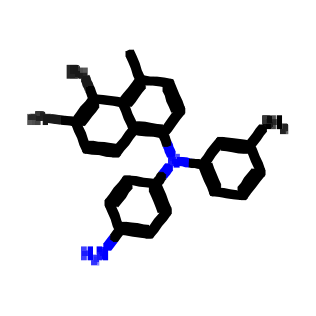 Bc1cccc(N(c2ccc(N)cc2)c2ccc(C)c3c(C(C)CC)c(CCC)ccc23)c1